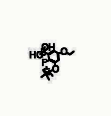 CCOc1cc(O[Si](C)(C)C(C)(C)C)c(F)c(B(O)O)c1